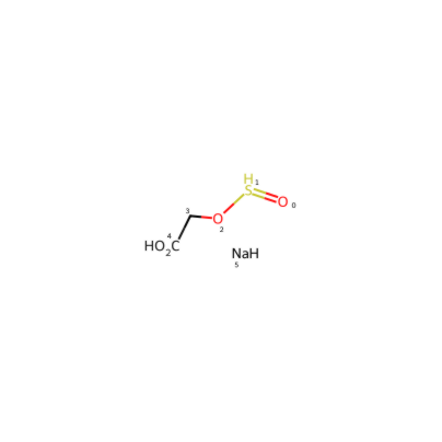 O=[SH]OCC(=O)O.[NaH]